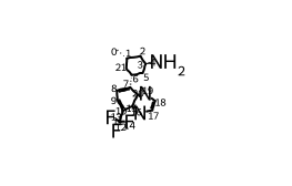 C[C@@H]1C[C@@H](N)C[C@H](c2ccc(C(F)(F)F)c3nccnc23)C1